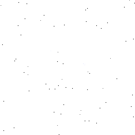 Clc1ccc(-c2[nH]c3ccc(Cl)cc3c2SC2CCNCC2)cc1